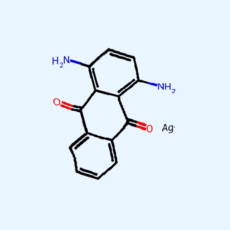 Nc1ccc(N)c2c1C(=O)c1ccccc1C2=O.[Ag]